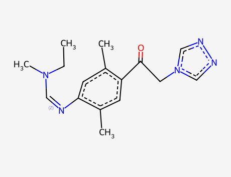 CCN(C)/C=N\c1cc(C)c(C(=O)Cn2cnnc2)cc1C